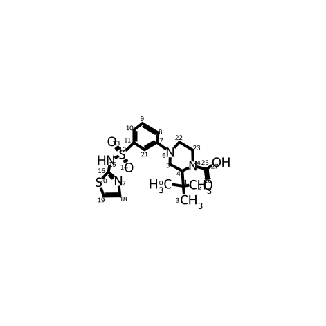 CC(C)(C)C1CN(c2cccc(S(=O)(=O)Nc3nccs3)c2)CCN1C(=O)O